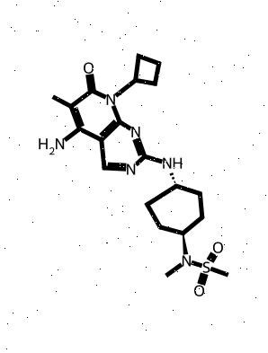 Cc1c(N)c2cnc(N[C@H]3CC[C@H](N(C)S(C)(=O)=O)CC3)nc2n(C2CCC2)c1=O